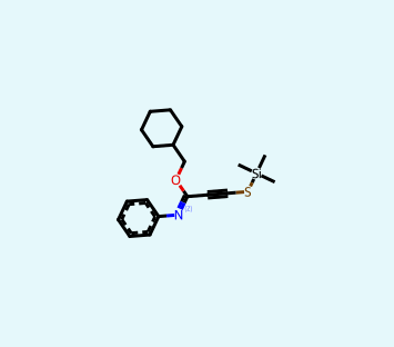 C[Si](C)(C)SC#C/C(=N/c1ccccc1)OCC1CCCCC1